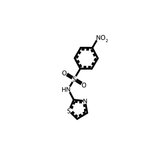 O=[N+]([O-])c1ccc(S(=O)(=O)Nc2nccs2)cc1